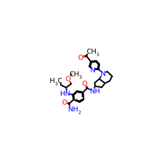 CCC(COC)Nc1cc(C(=O)NC2CC3CCCN(c4ccc(C(C)=O)cn4)C3C2)ccc1C(N)=O